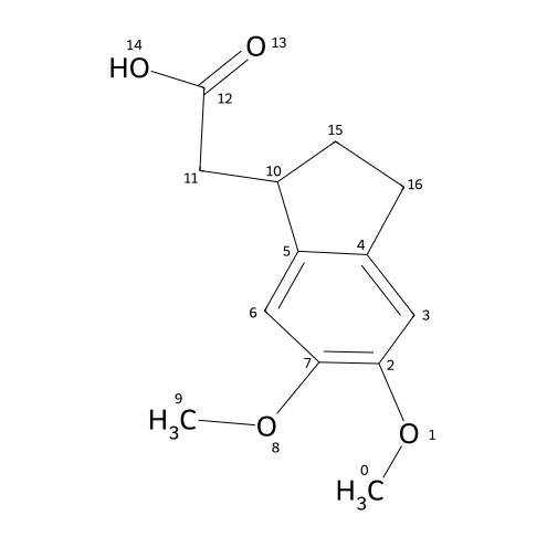 COc1cc2c(cc1OC)C(CC(=O)O)CC2